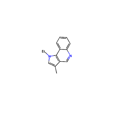 CCn1cc(C)c2cnc3ccccc3c21